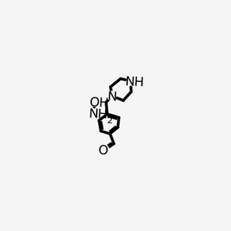 NO.O=Cc1ccc(CN2CCNCC2)cc1